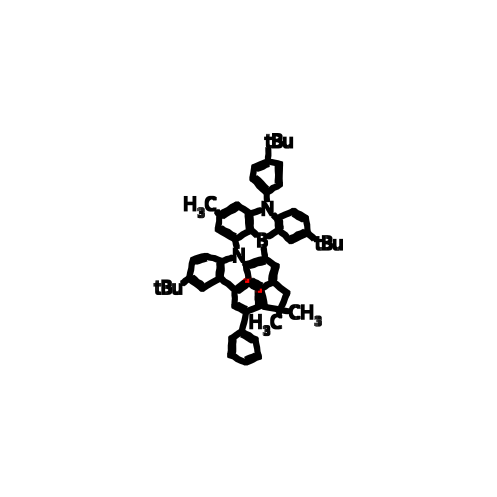 Cc1cc2c3c(c1)N(c1ccc(C(C)(C)C)cc1-c1cccc(-c4ccccc4)c1)c1cc4c(cc1B3c1cc(C(C)(C)C)ccc1N2c1ccc(C(C)(C)C)cc1)CC(C)(C)C4